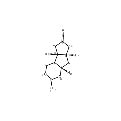 CC1OCC2[C@H](C[C@H]3OC(=O)C[C@@H]23)O1